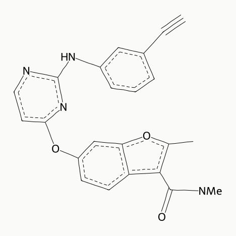 C#Cc1cccc(Nc2nccc(Oc3ccc4c(C(=O)NC)c(C)oc4c3)n2)c1